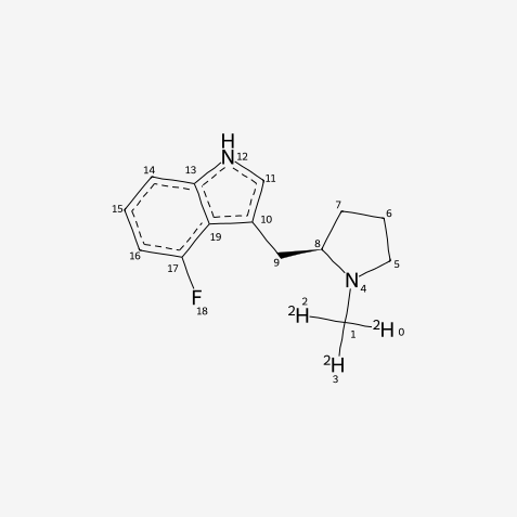 [2H]C([2H])([2H])N1CCC[C@@H]1Cc1c[nH]c2cccc(F)c12